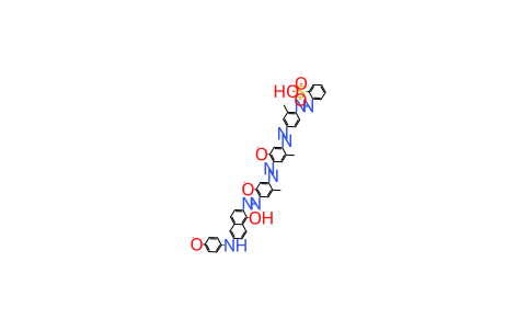 COc1ccc(Nc2ccc3c(O)c(N=Nc4cc(C)c(N=Nc5cc(C)c(N=Nc6ccc(N=Nc7ccccc7S(=O)(=O)O)c(C)c6)cc5OC)cc4OC)ccc3c2)cc1